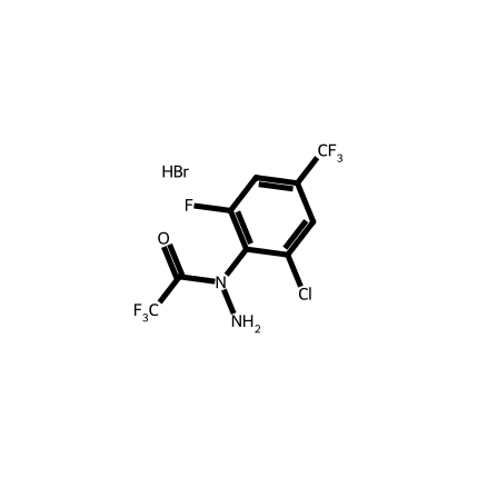 Br.NN(C(=O)C(F)(F)F)c1c(F)cc(C(F)(F)F)cc1Cl